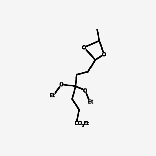 CCOC(=O)CCC(CCC1OC(C)O1)(OCC)OCC